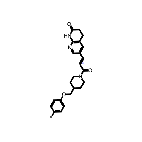 O=C1CCc2cc(/C=C/C(=O)N3CCC(COc4ccc(F)cc4)CC3)cnc2N1